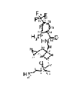 CCCS(=O)(=O)C[C@H]1C[C@@](CNC(=O)c2ccc(C(F)(F)F)nc2C)(CC2CC2)C1